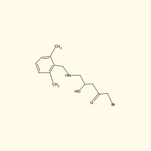 Cc1cccc(C)c1CNCC(O)CC(=O)CBr